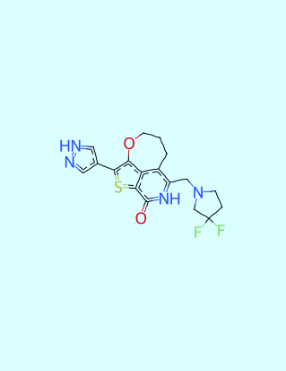 O=c1[nH]c(CN2CCC(F)(F)C2)c2c3c(c(-c4cn[nH]c4)sc13)OCCC2